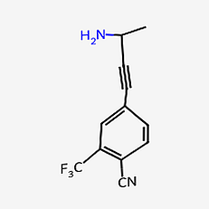 CC(N)C#Cc1ccc(C#N)c(C(F)(F)F)c1